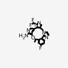 CC1Oc2cc(cnc2N)-c2c(cnn2C(F)F)Cn2ccnc2-c2ccc(F)cc21